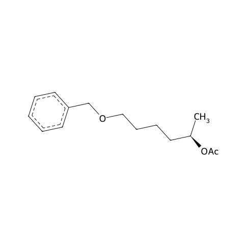 CC(=O)O[C@H](C)CCCCOCc1ccccc1